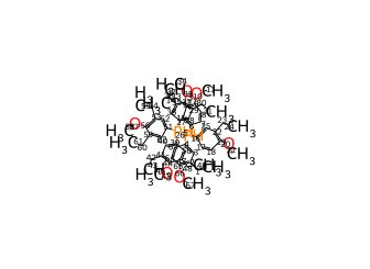 CCc1cc([PH](c2ccc(OC)c(CC)c2)(c2ccc(OC)c(CC)c2)[PH](c2cc(CC)c(OC)c(CC)c2)(c2cc(CC)c(OC)c(CC)c2)c2cc(CC)c(OC)c(CC)c2)ccc1OC